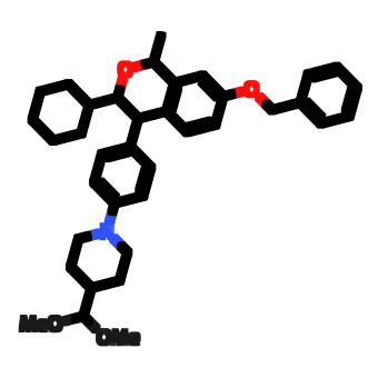 COC(OC)C1CCN(c2ccc(C3c4ccc(OCc5ccccc5)cc4C(C)OC3C3CCCCC3)cc2)CC1